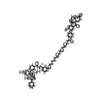 C[C@@H](NC(=O)c1cccc(NC2(c3nnc(-c4ccncc4)[nH]3)CCNCC2)c1)c1cccc(OCCCCCCOCCOCCOCCC(=O)N2CCN(c3cc4c(cc3F)C(=O)N(C3CCC(=O)NC3=O)C4=O)CC2)c1